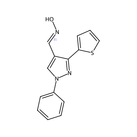 O/N=C/c1cn(-c2ccccc2)nc1-c1cccs1